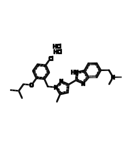 Cc1cc(-c2nc3cc(CN(C)C)ccc3[nH]2)nn1Cc1cc(Cl)ccc1OCC(C)C.Cl.Cl